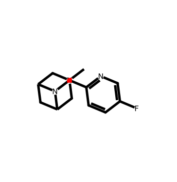 CN1CC2CC(C1)N2Cc1ccc(F)cn1